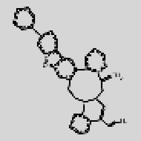 C=CC1=NC2CC(=C)[n+]3ccccc3-c3cc4c(cc3CCC2c2ccccc21)oc1cc(-c2ccccc2)ccc14